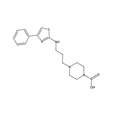 O=C(O)N1CCN(CCCNc2nc(-c3ccccc3)cs2)CC1